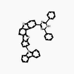 c1ccc(C2=NC(c3ccc4oc5ccc6c7ccc(-n8c9ccccc9c9ccccc98)cc7sc6c5c4c3)=NC(c3ccccc3)N2)cc1